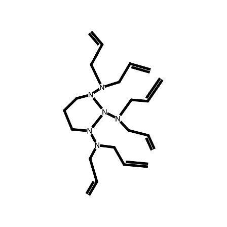 C=CCN(CC=C)N1CCCN(N(CC=C)CC=C)N1N(CC=C)CC=C